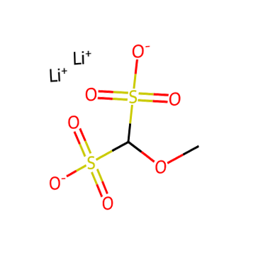 COC(S(=O)(=O)[O-])S(=O)(=O)[O-].[Li+].[Li+]